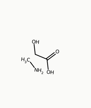 CN.O=C(O)CO